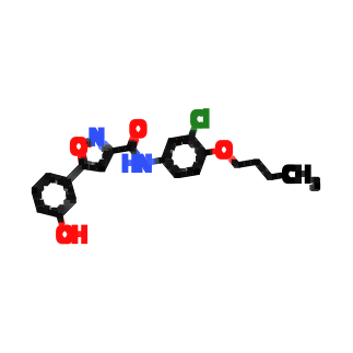 CCCCOc1ccc(NC(=O)c2cc(-c3cccc(O)c3)on2)cc1Cl